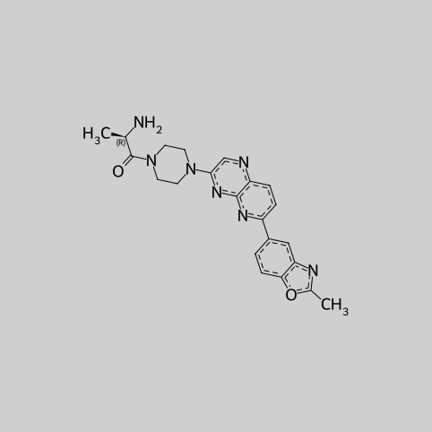 Cc1nc2cc(-c3ccc4ncc(N5CCN(C(=O)[C@@H](C)N)CC5)nc4n3)ccc2o1